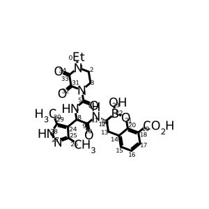 CCN1CCN(C(=O)NC(C(=O)N[C@H]2Cc3cccc(C(=O)O)c3OB2O)c2c(C)n[nH]c2C)C(=O)C1=O